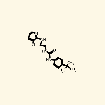 CC(C)(C)c1ccc(NC(=O)NCCNc2ncccc2Cl)cc1